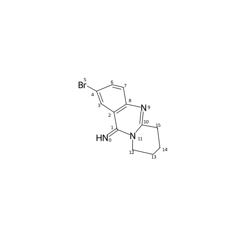 N=c1c2cc(Br)ccc2nc2n1CCCC2